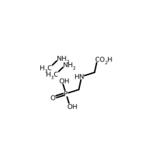 CN.CN.O=C(O)CNCP(=O)(O)O